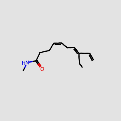 C=C/C(=C/C/C=C\CCC(=O)NC)CC